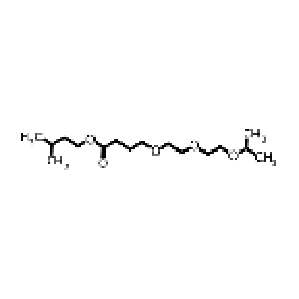 CC(C)CCOC(=O)CCCOCCOCCOC(C)C